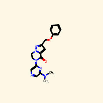 CN(C)c1cncc(N2CCn3nc(COc4ccccc4)cc3C2=O)n1